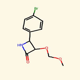 COCOC1C(=O)NC1c1ccc(Br)cc1